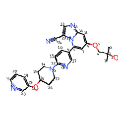 CC(C)(O)COc1cc(-c2ccc(N3CCC(Oc4cccnc4)CC3)nc2)n2c(C#N)cnc2c1